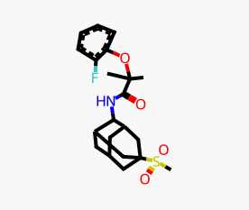 CC(C)(Oc1ccccc1F)C(=O)NC1C2CC3CC1CC(S(C)(=O)=O)(C3)C2